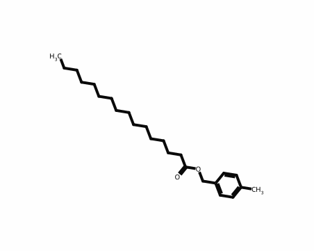 CCCCCCCCCCCCCCCC(=O)OCc1ccc(C)cc1